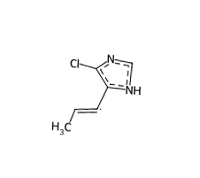 CC=[C]c1[nH]cnc1Cl